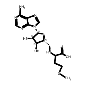 CSCCC(NC[C@H]1O[C@@H](n2cnc3c(N)ncnc32)[C@H](S)[C@@H]1O)C(=O)O